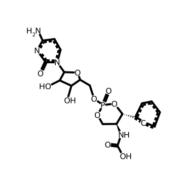 Nc1ccn(C2OC(COP3(=O)OC[C@H](NC(=O)O)[C@@H](c4ccccc4)O3)C(O)C2O)c(=O)n1